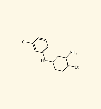 CCN1CCC(Nc2cccc(Cl)c2)CC1N